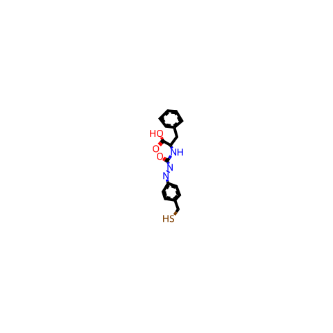 O=C(/N=N/c1ccc(CS)cc1)NC(Cc1ccccc1)C(=O)O